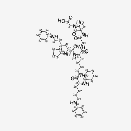 O=C(O)CNC(=O)C(CO)NC(=O)CNC(=O)C(CCCCNC(=O)C(CCCCNc1ccccc1)NC1CCCCC1)NC(=O)C(CCCCNc1ccccc1)NC1CCCC1